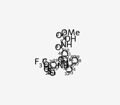 COC(=O)[C@H](O)CNC(=O)c1ccc(CN(C(=O)Nc2ccc(OC(F)(F)F)c(S(C)(=O)=O)c2)c2ccccc2C2CC=CCC2)cc1